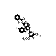 COc1nc(N2C[C@H]3CSC(NC(=O)c4ccccc4)=N[C@@]3(c3cc(F)ccc3F)C2)nc(C)c1F